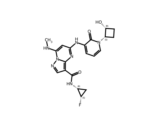 CNc1cc(Nc2cccn([C@H]3CC[C@H]3O)c2=O)nc2c(C(=O)N[C@@H]3C[C@@H]3F)cnn12